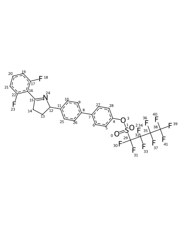 O=S(=O)(Oc1ccc(-c2ccc(C3CCC(c4c(F)cccc4F)=N3)cc2)cc1)C(F)(F)C(F)(F)C(F)(F)C(F)(F)F